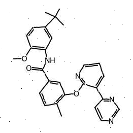 COc1ccc(C(C)(C)C)cc1NC(=O)c1ccc(C)c(Oc2ncccc2-c2ccncn2)c1